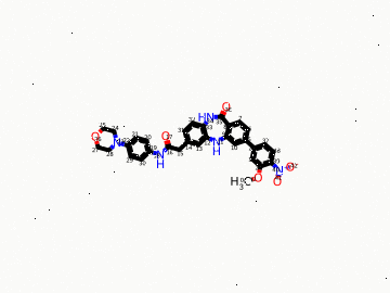 COc1cc(-c2ccc3c(c2)Nc2cc(CC(=O)Nc4ccc(N5CCOCC5)cc4)ccc2NC3=O)ccc1[N+](=O)[O-]